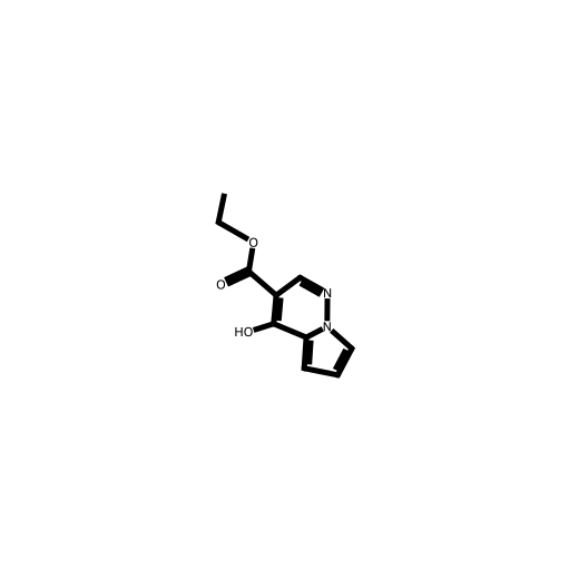 CCOC(=O)c1cnn2cccc2c1O